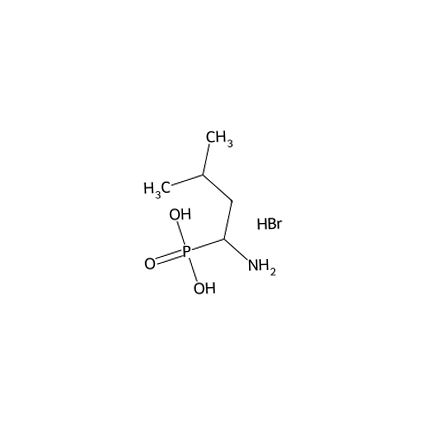 Br.CC(C)CC(N)P(=O)(O)O